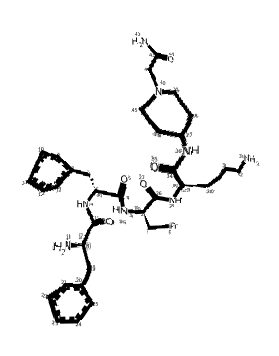 CC(C)C[C@@H](NC(=O)[C@@H](Cc1ccccc1)NC(=O)[C@H](N)Cc1ccccc1)C(=O)N[C@H](CCCN)C(=O)NC1CCN(CC(N)=O)CC1